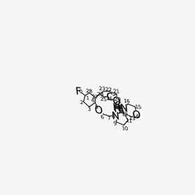 FC1CCC2OCCN3CCC[C@@]4(COCCN4)[C@@H]3COC3CCC(CC3)C2C1